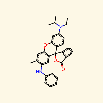 CCN(c1ccc2c(c1)Oc1cc(C)c(Nc3ccccc3)cc1C21OC(=O)c2ccccc21)C(C)C